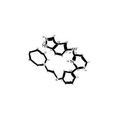 c1cc(OCCN2CCCCCC2)cc(-c2nccc(Nc3ccc4[nH]ncc4c3)n2)c1